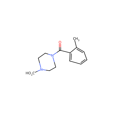 Cc1ccccc1C(=O)N1CCN(C(=O)O)CC1